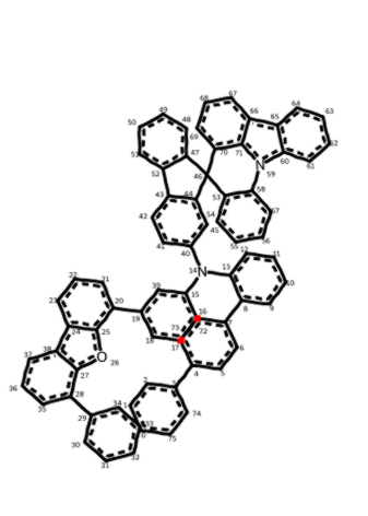 c1ccc(-c2ccc(-c3ccccc3N(c3cccc(-c4cccc5c4oc4c(-c6ccccc6)cccc45)c3)c3ccc4c(c3)C3(c5ccccc5-4)c4ccccc4-n4c5ccccc5c5cccc3c54)cc2)cc1